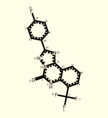 O=c1[nH]c2c(C(F)(F)F)cccc2c2nc(-c3ccc(F)cc3)nn12